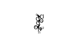 CC(Cl)OC(=O)OCC(=O)N(C)C